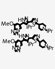 COc1cc(-c2[nH]nc(-c3cnc(C4CCN(C(C)C)CC4)s3)c2C(C)C)cn2ncnc12.COc1cc(-c2[nH]nc(-c3cnc(C4CCN(C(C)C)CC4)s3)c2C(C)C)cn2ncnc12